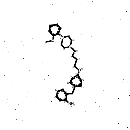 COc1ccccc1N1CCN(CCCCOc2ccc(Cc3ccccc3N)cc2)CC1